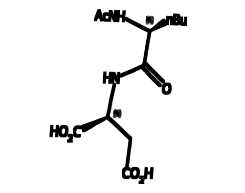 CCCC[C@H](NC(C)=O)C(=O)N[C@@H](CC(=O)O)C(=O)O